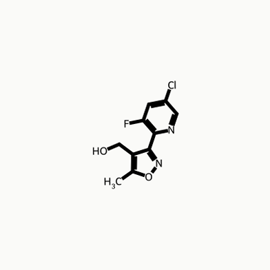 Cc1onc(-c2ncc(Cl)cc2F)c1CO